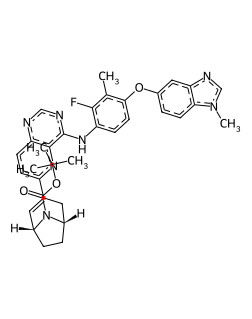 Cc1c(Oc2ccc3c(c2)ncn3C)ccc(Nc2ncnc3ccc(C4=C[C@H]5CC[C@@H](C4)N5C(=O)OC(C)(C)C)nc23)c1F